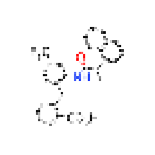 CC(C(=O)Nc1cc(C(F)(F)F)ccc1Cc1ccccc1C(=O)O)c1cccc2ccccc12